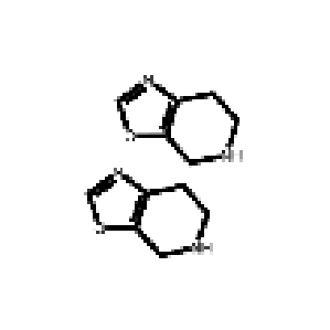 c1nc2c(o1)CNCC2.c1nc2c(o1)CNCC2